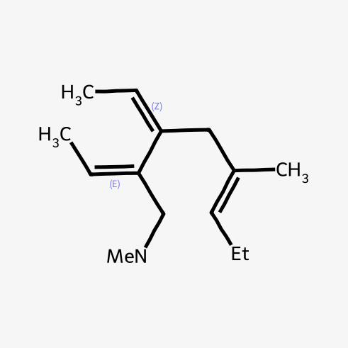 C/C=C(CC(C)=CCC)\C(=C/C)CNC